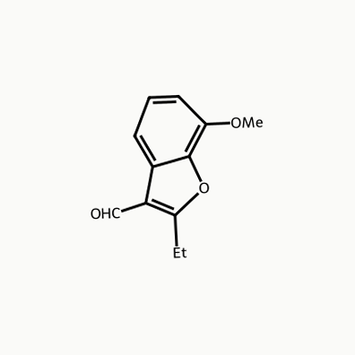 CCc1oc2c(OC)cccc2c1C=O